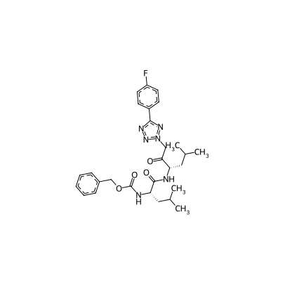 CC(C)C[C@H](NC(=O)[C@H](CC(C)C)NC(=O)OCc1ccccc1)C(=O)Cn1nnc(-c2ccc(F)cc2)n1